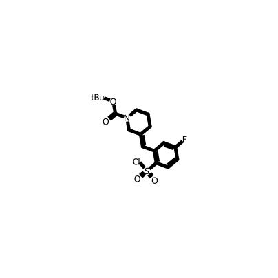 CC(C)(C)OC(=O)N1CCC/C(=C\c2cc(F)ccc2S(=O)(=O)Cl)C1